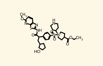 CCOC(=O)C1CC[N+](C2CCNCC2)(S(=O)(=O)c2ccc(C(CC3CCCC3)C(=O)Nc3nc4ccc(OC)nc4s3)cc2)CC1.Cl